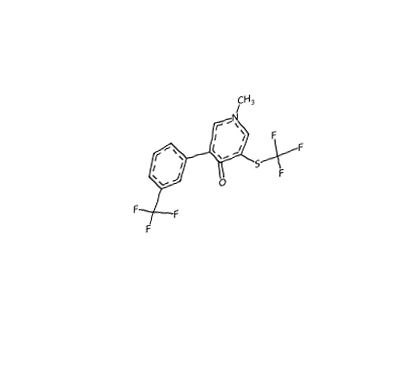 Cn1cc(SC(F)(F)F)c(=O)c(-c2cccc(C(F)(F)F)c2)c1